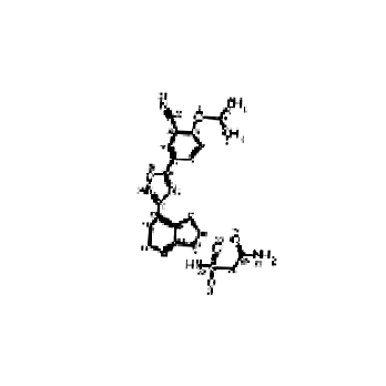 CC(C)Oc1ccc(-c2nc(-c3cccc4c3CC[C@@H]4NS(=O)(=O)CC(N)=O)no2)cc1C#N